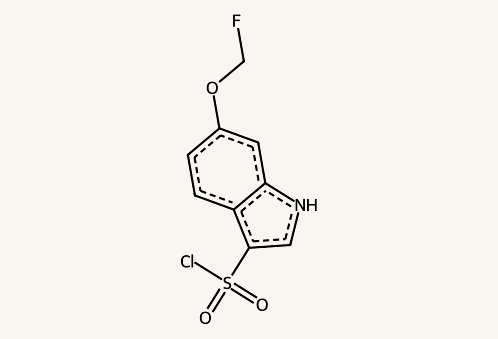 O=S(=O)(Cl)c1c[nH]c2cc(OCF)ccc12